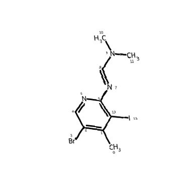 Cc1c(Br)cnc(/N=C/N(C)C)c1I